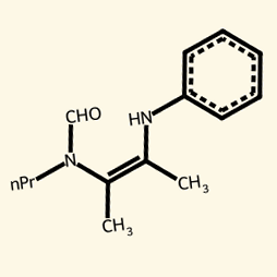 CCCN(C=O)C(C)=C(C)Nc1ccccc1